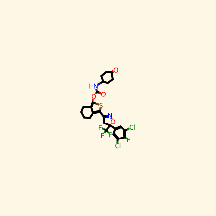 O=C1CCC(NC(=O)Oc2sc(C3=NOC(c4cc(Cl)c(F)c(Cl)c4)(C(F)(F)F)C3)c3c2CCCC3)CC1